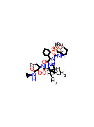 CC(C)CC(NC(=O)[C@@H]1[C@@H]2[C@H](CN1C(=O)[C@@H](NC(=O)NC1(CS(=O)(=O)C(C)(C)C)CCCCC1)C1CCCCC1)C2(C)C)C(=O)C(=O)NC1CC1